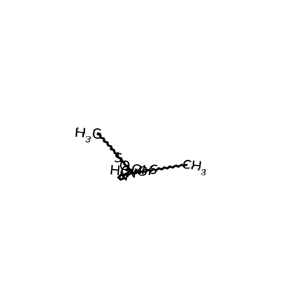 CCCCCCCCCCCCSCCCOCC(O)CN(CCN1CCCC1)CC(O)COCCCSCCCCCCCCCCCC